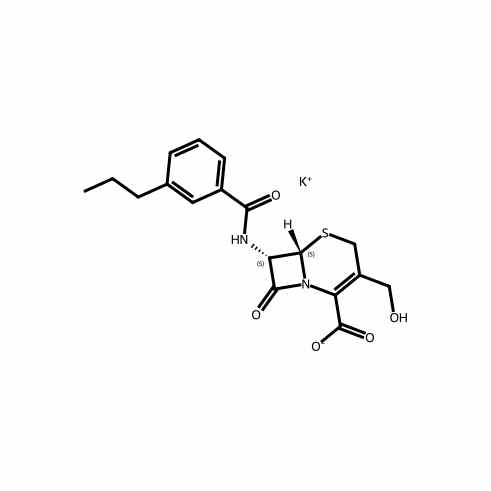 CCCc1cccc(C(=O)N[C@H]2C(=O)N3C(C(=O)[O-])=C(CO)CS[C@@H]23)c1.[K+]